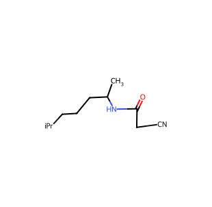 CC(C)CCCC(C)NC(=O)CC#N